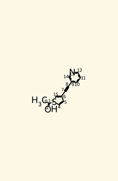 CC(=O)[SH]1C=CC(C#Cc2cccnc2)=C1